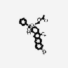 COc1ccc2cc3cc4c(c(OC)c3cc2c1)C[C@@]1(CCOC(C)=O)C[C@@H]4OB(c2ccccc2)O1